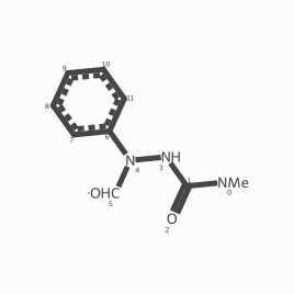 CNC(=O)NN([C]=O)c1ccccc1